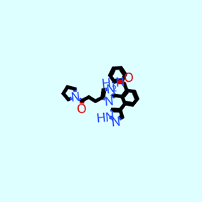 NC(=O)c1cccc(-c2cn[nH]c2)c1-c1nc(CCC(=O)N2CCCC2)cn1-c1ccccc1